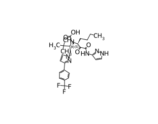 CCCC[C@@H](C(=O)C(=O)Nc1cc[nH]n1)N(C(=O)O)[C@@H](Cn1ccc(-c2ccc(C(F)(F)F)cc2)n1)C(C)(C)C